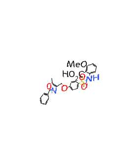 COc1cccc(NS(=O)(=O)c2ccc(OCc3nc(-c4ccccc4)oc3C)cc2)c1C(=O)O